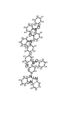 C1=CC2N=C3N(c4cc5c6c(c4)-c4ccccc4OB6c4cc(-c6ccc7c(c6)c6ccccc6n7-c6cccc7c6Oc6cccc8c6B7Oc6ccccc6-8)ccc4O5)c4ccccc4N3C2C=C1